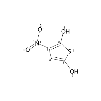 O=[N+]([O-])c1cc(O)sc1O